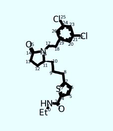 CCNC(=O)c1ccc(CCC[C@H]2CCC(=O)N2CCc2cc(Cl)cc(Cl)c2)s1